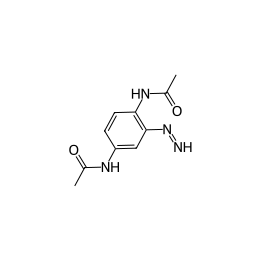 CC(=O)Nc1ccc(NC(C)=O)c(N=N)c1